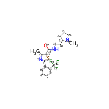 Cc1nc(-c2ccccc2C(F)(F)F)sc1C(=O)NCCC1CCCN1C